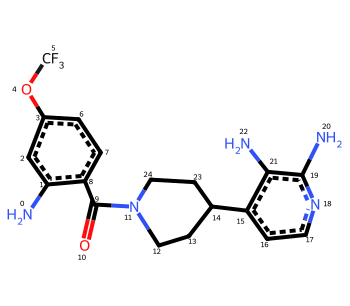 Nc1cc(OC(F)(F)F)ccc1C(=O)N1CCC(c2ccnc(N)c2N)CC1